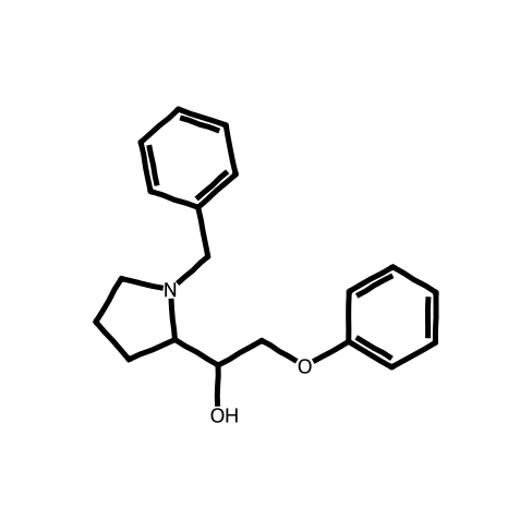 OC(COc1ccccc1)C1CCCN1Cc1ccccc1